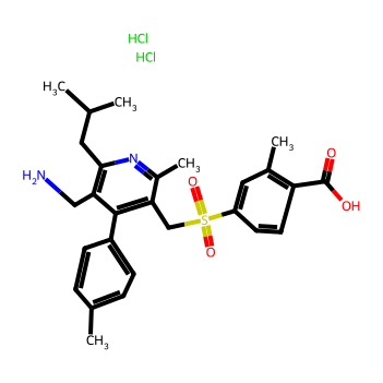 Cc1ccc(-c2c(CS(=O)(=O)c3ccc(C(=O)O)c(C)c3)c(C)nc(CC(C)C)c2CN)cc1.Cl.Cl